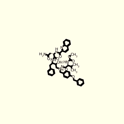 COC(=O)N[C@H](C(=O)NN(Cc1ccc(OCc2ccccc2)cc1)CC(O)C(Cc1ccccc1)NC(=O)[C@H](CC(N)=O)NC(=O)c1ccc2ccccc2n1)C(C)C